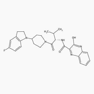 CC(C)[C@H](NC(=O)c1nc2ccccc2nc1O)C(=O)N1CCC(N2CCc3cc(F)ccc32)CC1